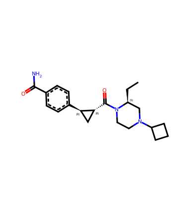 CC[C@H]1CN(C2CCC2)CCN1C(=O)[C@@H]1C[C@H]1c1ccc(C(N)=O)cc1